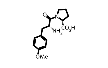 COc1ccc(C[C@@H](N)C(=O)N2CCC[C@H]2C(=O)O)cc1